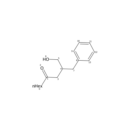 CCCCCCC(=O)CC(CO)Cc1ccccc1